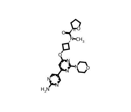 CN(C(=O)[C@H]1CCCO1)[C@H]1C[C@H](Oc2cc(-c3cnc(N)nc3)nc(N3CCOCC3)n2)C1